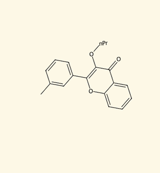 CCCOc1c(-c2cccc(C)c2)oc2ccccc2c1=O